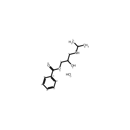 CC(C)NCC(O)COC(=O)c1ccccc1.Cl